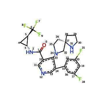 O=C(N[C@@H]1C[C@H]1C(F)(F)F)c1cncc(-c2cc(F)cc(F)c2)c1N1CC[C@@]2(CCCN2)C1